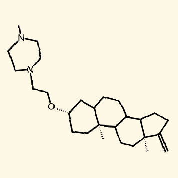 C=C1CCC2C3CCC4C[C@@H](OCCN5CCN(C)CC5)CC[C@]4(C)C3CC[C@]12C